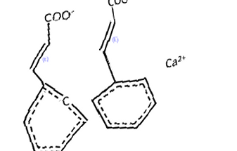 O=C([O-])/C=C/c1ccccc1.O=C([O-])/C=C/c1ccccc1.[Ca+2]